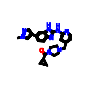 Cn1cc(-c2ccc3nc(Nc4cc(CN5CCN(C(=O)C6CC6)CC5)ccn4)[nH]c3c2)cn1